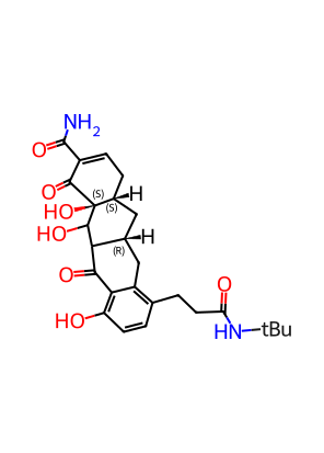 CC(C)(C)NC(=O)CCc1ccc(O)c2c1C[C@H]1C[C@H]3CC=C(C(N)=O)C(=O)[C@@]3(O)C(O)C1C2=O